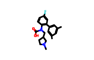 Cc1cc(C)cc(-c2cc(F)ccc2N(CC2CCN(C)C2)C(=O)O)c1